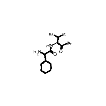 CCC(CC)[C@H](NC(=O)C(N)C1CCCCC1)C(=O)C(C)C